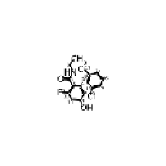 CCNC(=O)c1ccc(O)cc1F.Clc1cccc(Cl)c1